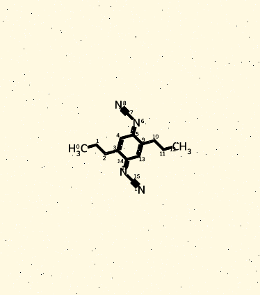 CCCC1=CC(=NC#N)C(CCC)=CC1=NC#N